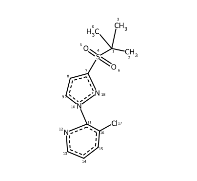 CC(C)(C)S(=O)(=O)c1c[c]n(-c2ncccc2Cl)n1